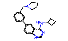 c1cc(CN2CCCC2)cc(-c2ccc3ncnc(NC4CCC4)c3c2)c1